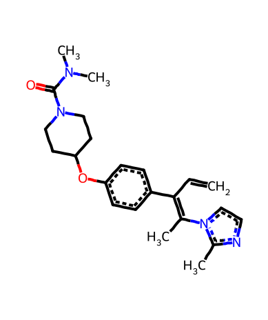 C=C/C(=C(/C)n1ccnc1C)c1ccc(OC2CCN(C(=O)N(C)C)CC2)cc1